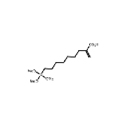 C=C(CCCCCCC[Si](OC)(OC)OC)C(=O)O